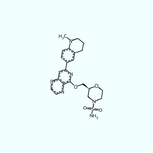 CN1CCCc2cc(-c3cc4nccnc4c(OC[C@@H]4CN(S(N)(=O)=O)CCO4)n3)ccc21